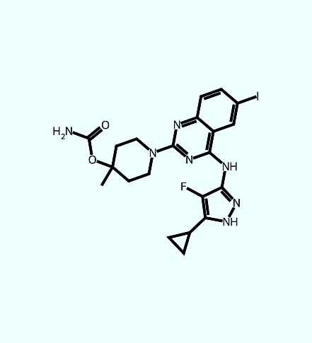 CC1(OC(N)=O)CCN(c2nc(Nc3n[nH]c(C4CC4)c3F)c3cc(I)ccc3n2)CC1